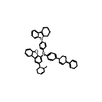 CC1C=CCCC1c1cc2c(c(N(c3ccc(C4C=CC(C5=CCCC=C5)CC4)cc3)c3ccc(-n4c5c(c6ccccc64)CCCC5)cc3)c1)OC1C=CC=CC21